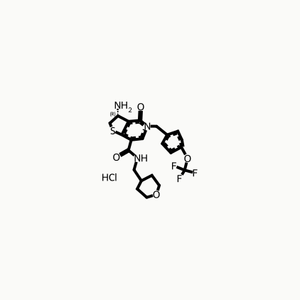 Cl.N[C@H]1CSc2c(C(=O)NCC3CCOCC3)cn(Cc3ccc(OC(F)(F)F)cc3)c(=O)c21